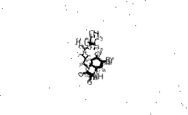 CC(C)(C)OC(=O)N1CC(Cn2c(=O)c(=O)[nH]c3cc(Br)c(Cl)cc32)C1